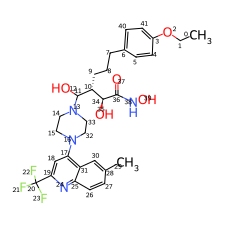 CCOc1ccc(CCC[C@@H](C(O)N2CCN(c3cc(C(F)(F)F)nc4ccc(C)cc34)CC2)[C@H](O)C(=O)NO)cc1